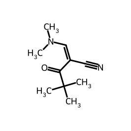 CN(C)C=C(C#N)C(=O)C(C)(C)C